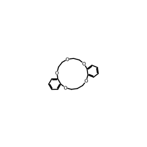 c1ccc2c(c1)OCCCOc1ccccc1OCCOCCO2